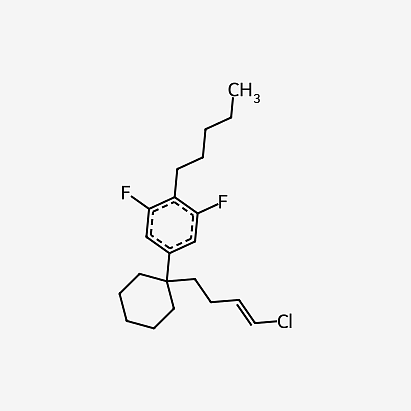 CCCCCc1c(F)cc(C2(CC/C=C/Cl)CCCCC2)cc1F